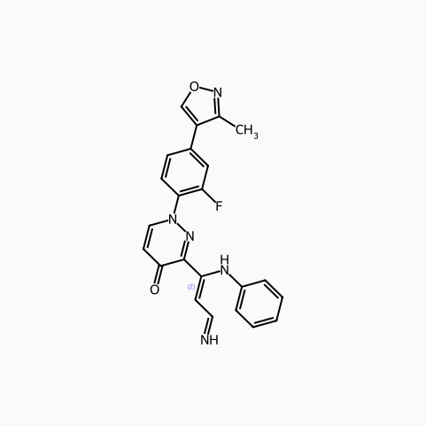 Cc1nocc1-c1ccc(-n2ccc(=O)c(/C(=C/C=N)Nc3ccccc3)n2)c(F)c1